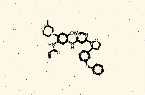 C=CC(=O)Nc1cc(Nc2cc(N3OCCC3c3cccc(Oc4ccccc4)c3)ncn2)c(OC)cc1N1CCOC(C)C1